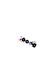 CC(Cc1ccccc1)CN(C)[C@H]1CC[C@H](c2ccc3[nH]c(=O)oc3c2)CC1